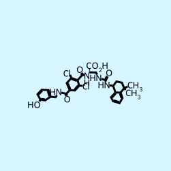 CC1(C)CCC(NC(=O)NC[C@H](NC(=O)c2c(Cl)cc(C(=O)NCc3cccc(O)c3)cc2Cl)C(=O)O)c2ccccc21